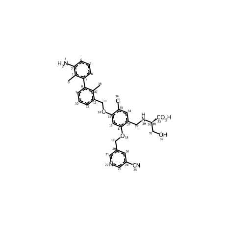 Cc1c(N)cccc1-c1cccc(COc2cc(OCc3cncc(C#N)c3)c(CN[C@H](CO)C(=O)O)cc2Cl)c1C